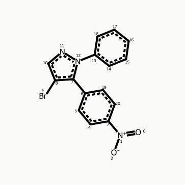 O=[N+]([O-])c1ccc(-c2c(Br)cnn2-c2ccccc2)cc1